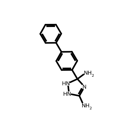 NC1=NC(N)(c2ccc(-c3ccccc3)cc2)NN1